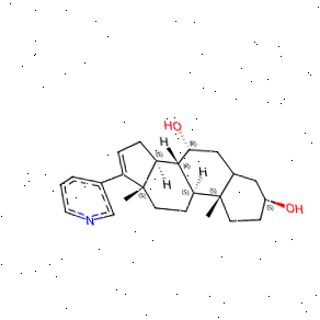 C[C@]12CC[C@H](O)CC1C[C@@H](O)[C@@H]1[C@@H]2CC[C@]2(C)C(c3cccnc3)=CC[C@@H]12